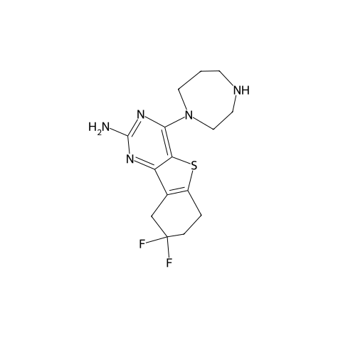 Nc1nc(N2CCCNCC2)c2sc3c(c2n1)CC(F)(F)CC3